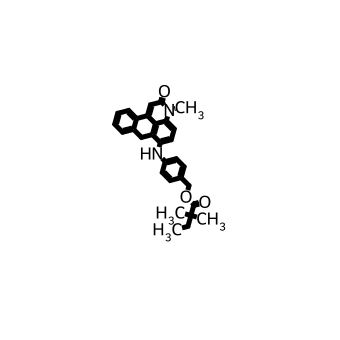 CCC(C)(C)C(=O)OCc1ccc(Nc2ccc3c4c(cc(=O)n3C)-c3ccccc3Cc24)cc1